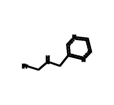 CC(C)CNCc1cnccn1